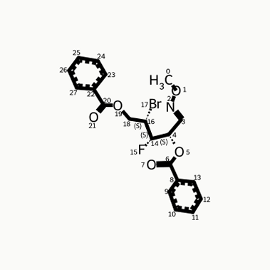 CON=C[C@H](OC(=O)c1ccccc1)[C@H](F)[C@@H](Br)COC(=O)c1ccccc1